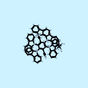 N#Cc1c(-n2c3ccccc3c3ccccc32)c(-n2c3ccccc3c3ccccc32)c(C#N)c(-n2c3cc(C(F)(F)F)ccc3c3ccc4c5ccccc5oc4c32)c1-n1c2ccccc2c2ccccc21